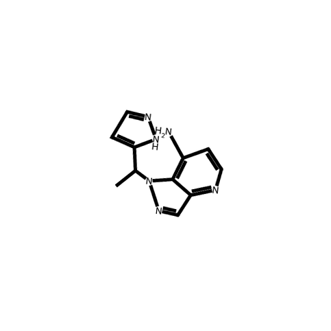 CC(c1ccn[nH]1)n1ncc2nccc(N)c21